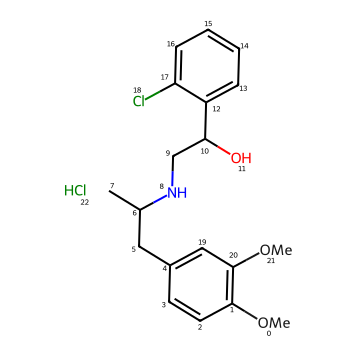 COc1ccc(CC(C)NCC(O)c2ccccc2Cl)cc1OC.Cl